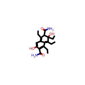 CCC1=c2cc(O)c(C(N)=O)c(CC)c2=C(CC)C(O)(CC)C1C(N)=O